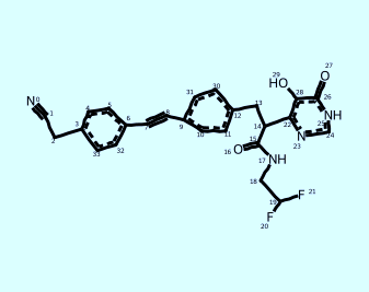 N#CCc1ccc(C#Cc2ccc(CC(C(=O)NCC(F)F)c3nc[nH]c(=O)c3O)cc2)cc1